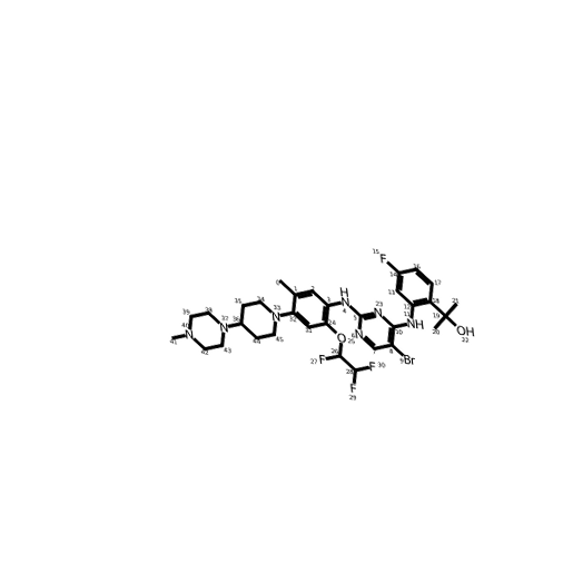 Cc1cc(Nc2ncc(Br)c(Nc3cc(F)ccc3C(C)(C)O)n2)c(OC(F)C(F)F)cc1N1CCC(N2CCN(C)CC2)CC1